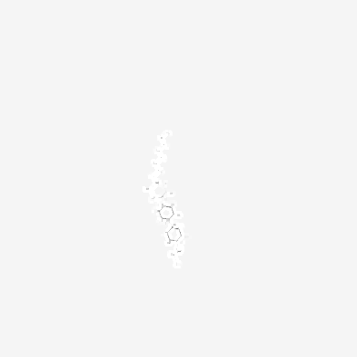 CCCCCCCCC1CC=C(c2ccc(-c3ccc(OCC)cc3)cc2)CC1